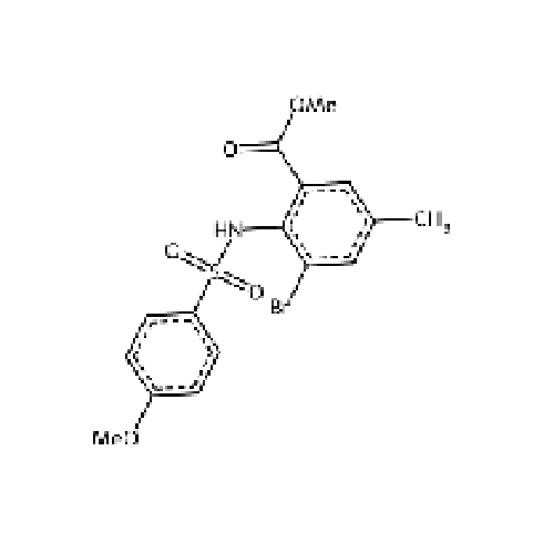 COC(=O)c1cc(C)cc(Br)c1NS(=O)(=O)c1ccc(OC)cc1